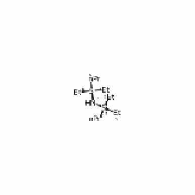 CCC[Si](CC)(CC)N[Si](CC)(CC)CCC